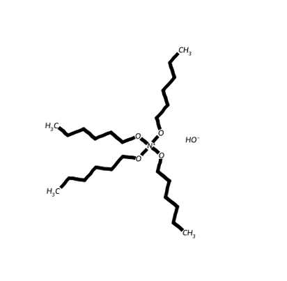 CCCCCCO[N+](OCCCCCC)(OCCCCCC)OCCCCCC.[OH-]